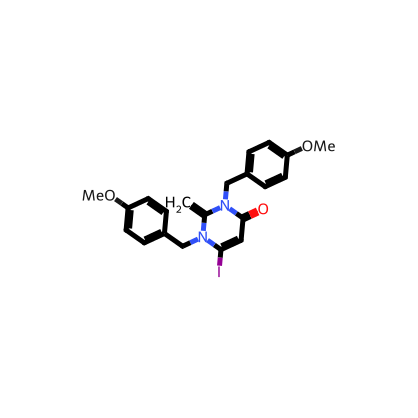 C=C1N(Cc2ccc(OC)cc2)C(=O)C=C(I)N1Cc1ccc(OC)cc1